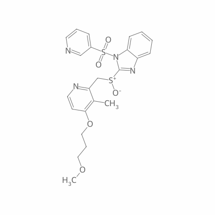 COCCCOc1ccnc(C[S+]([O-])c2nc3ccccc3n2S(=O)(=O)c2cccnc2)c1C